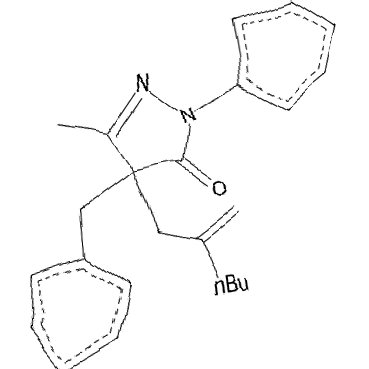 C=C(CCCC)CC1(Cc2ccccc2)C(=O)N(c2ccccc2)N=C1C